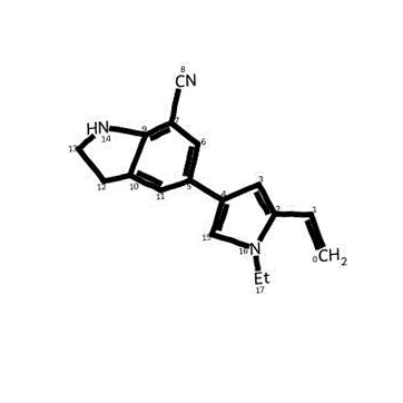 C=Cc1cc(-c2cc(C#N)c3c(c2)CCN3)cn1CC